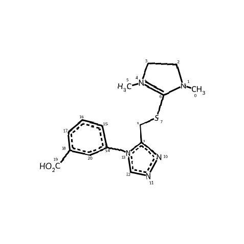 CN1CC[N+](C)=C1SCc1nncn1-c1cccc(C(=O)O)c1